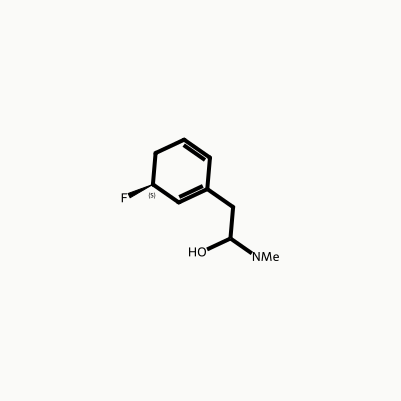 CNC(O)CC1=C[C@@H](F)CC=C1